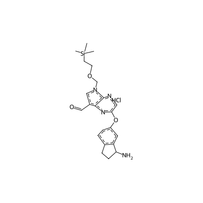 C[Si](C)(C)CCOCn1cc(C=O)c2nc(Oc3ccc4c(c3)C(N)CC4)cnc21.Cl